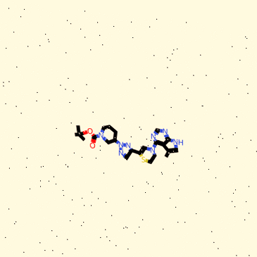 Cc1c[nH]c2ncnc(N3C=C(c4cnn(C5CCCN(C(=O)OC(C)(C)C)C5)n4)SCC3)c12